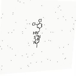 Clc1ccc(CNc2nn3cc(I)nc3s2)cc1Cl